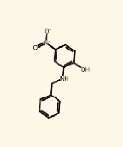 O=[N+]([O-])c1ccc(O)c(NCc2ccccc2)c1